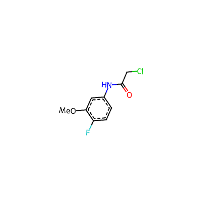 COc1cc(NC(=O)CCl)ccc1F